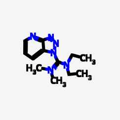 CCN(CC)C(n1nnc2ncccc21)=[N+](C)C